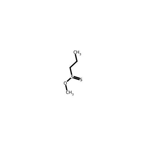 CCCS(=S)OC